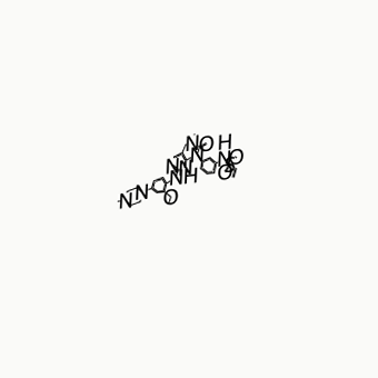 C=CS(=O)(=O)Nc1cccc(N2C(=O)N(C)Cc3cnc(Nc4ccc(N5CCN(C)CC5)cc4OC)nc32)c1